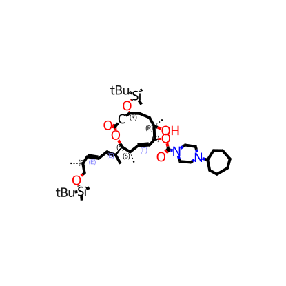 C/C(=C\C=C\[C@@H](C)CO[Si](C)(C)C(C)(C)C)[C@H]1OC(=O)C[C@H](O[Si](C)(C)C(C)(C)C)CC[C@@](C)(O)[C@@H](OC(=O)N2CCN(C3CCCCCC3)CC2)/C=C/[C@@H]1C